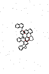 c1ccc(N(c2ccc(-c3cccc4ccccc34)cc2)c2ccccc2-c2cccc3oc4ccccc4c23)c(-c2cccc3cccc(C4CCCCC4)c23)c1